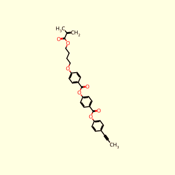 C=C(C)C(=O)OCCCCOc1ccc(C(=O)Oc2ccc(C(=O)Oc3ccc(C#CC)cc3)cc2)cc1